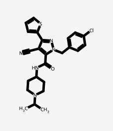 CC(C)N1CCC(NC(=O)c2c(C#N)c(-c3cccs3)nn2Cc2ccc(Cl)cc2)CC1